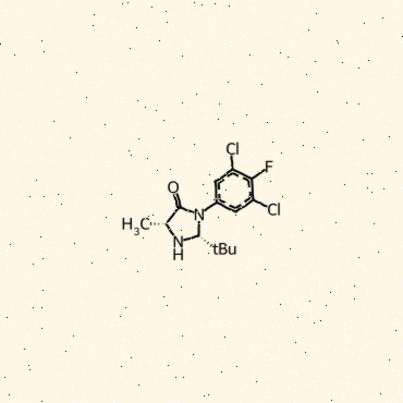 C[C@H]1N[C@@H](C(C)(C)C)N(c2cc(Cl)c(F)c(Cl)c2)C1=O